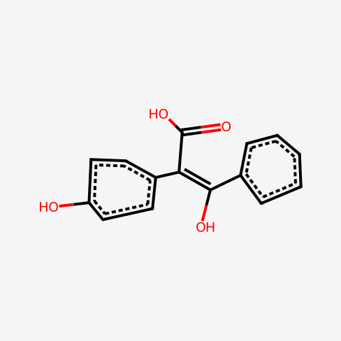 O=C(O)C(=C(O)c1ccccc1)c1ccc(O)cc1